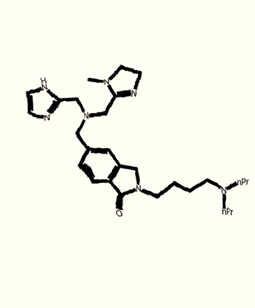 CCCN(CCC)CCCCN1Cc2cc(CN(CC3=NCCN3C)Cc3ncc[nH]3)ccc2C1=O